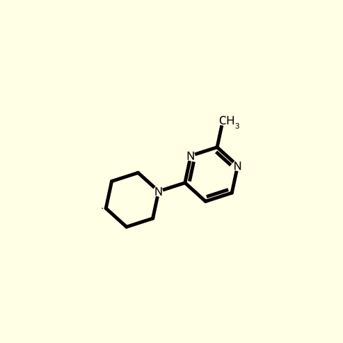 Cc1nccc(N2CC[CH]CC2)n1